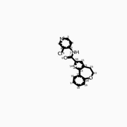 O=C(Nc1ccncc1Cl)c1cc2c(s1)-c1ccccc1OCC2